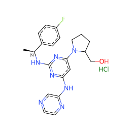 C[C@H](Nc1nc(Nc2cnccn2)cc(N2CCCC2CO)n1)c1ccc(F)cc1.Cl